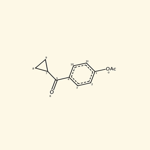 CC(=O)Oc1ccc(C(=O)C2CC2)cc1